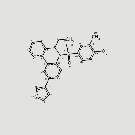 CCC1c2ccccc2-c2cc(-c3ccsc3)ccc2N1S(=O)(=O)c1ccc(O)c(C)c1